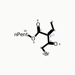 C/C=C(/C(=O)CBr)C(=O)OCCCCC